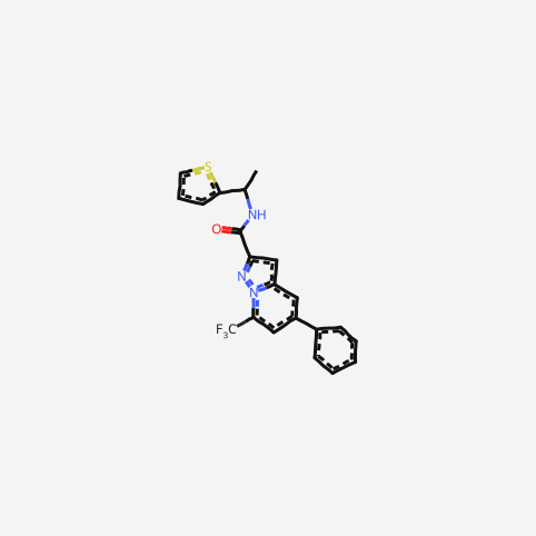 CC(NC(=O)c1cc2cc(-c3ccccc3)cc(C(F)(F)F)n2n1)c1cccs1